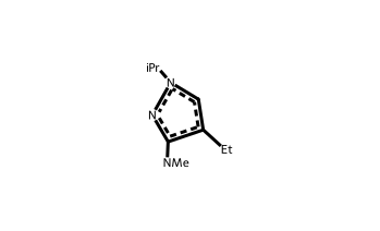 CCc1cn(C(C)C)nc1NC